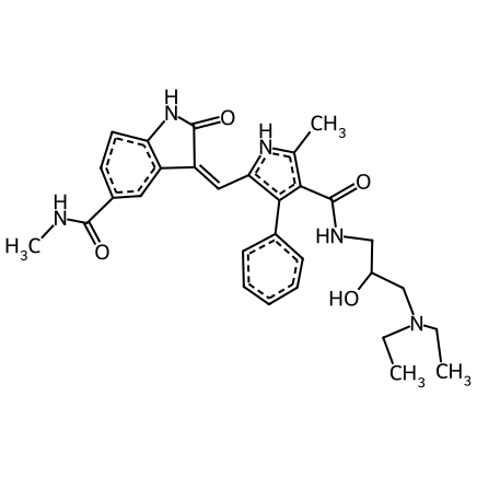 CCN(CC)CC(O)CNC(=O)c1c(C)[nH]c(C=C2C(=O)Nc3ccc(C(=O)NC)cc32)c1-c1ccccc1